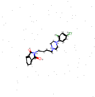 O=C1c2ccccc2C(=O)N1CCCCN1CCN(c2ccc(Cl)cc2F)CC1